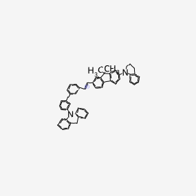 CC1(C)c2cc(/C=C/c3cccc(-c4cccc(N5c6ccccc6Cc6ccccc65)c4)c3)ccc2-c2ccc(N3CCCc4ccccc43)cc21